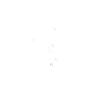 Cc1nc(S(=O)(=O)n2nc(C3=CCN(C)CC3)c3cc(F)ccc32)cn1C